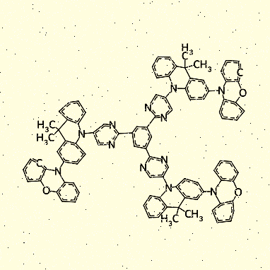 CC1(C)c2ccccc2N(c2cnc(-c3cc(-c4ncc(N5c6ccccc6C(C)(C)c6cc(N7c8ccccc8Oc8ccccc87)ccc65)cn4)cc(-c4ncc(N5c6ccccc6C(C)(C)c6cc(N7c8ccccc8Oc8ccccc87)ccc65)cn4)c3)nc2)c2ccc(N3c4ccccc4Oc4ccccc43)cc21